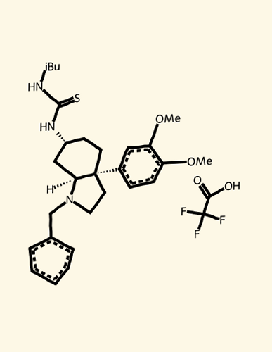 CCC(C)NC(=S)N[C@@H]1CC[C@@]2(c3ccc(OC)c(OC)c3)CCN(Cc3ccccc3)[C@H]2C1.O=C(O)C(F)(F)F